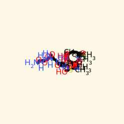 COc1cc2cc(c1Cl)N(C)C(=O)C[C@H](OC(=O)[C@H](C)N(C)C(=O)CCSC(CCO)C(=O)NCC1CCC(C(=O)NCCCCC(NC(=O)CNC(=O)CNC(=O)CN)C(N)=O)CC1)[C@]1(C)O[C@H]1[C@H](C)C1C[C@@](O)(NC(=O)O1)[C@H](OC)/C=C/C=C(\C)C2